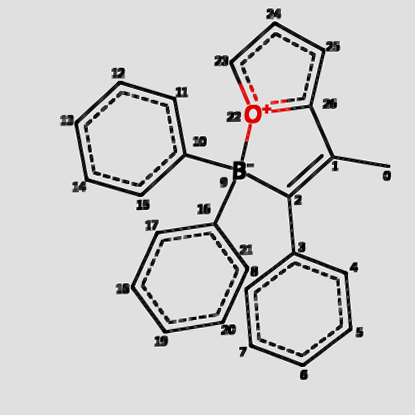 CC1=C(c2ccccc2)[B-](c2ccccc2)(c2ccccc2)[o+]2cccc21